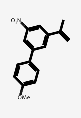 C=C(C)c1cc(-c2ccc(OC)cc2)cc([N+](=O)[O-])c1